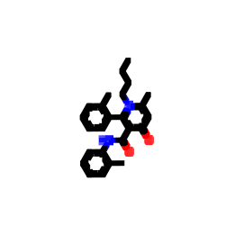 CCCCn1c(C)cc(=O)c(C(=O)Nc2ccccc2C)c1-c1ccccc1C